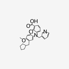 COc1cc(Cl)c(N(Cc2cccnc2)c2cccc(C(=O)O)c2)cc1CC1CCCC1